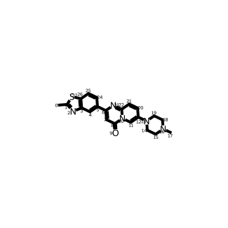 Cc1nc2cc(-c3cc(=O)n4cc(N5CCN(C)CC5)ccc4n3)ccc2s1